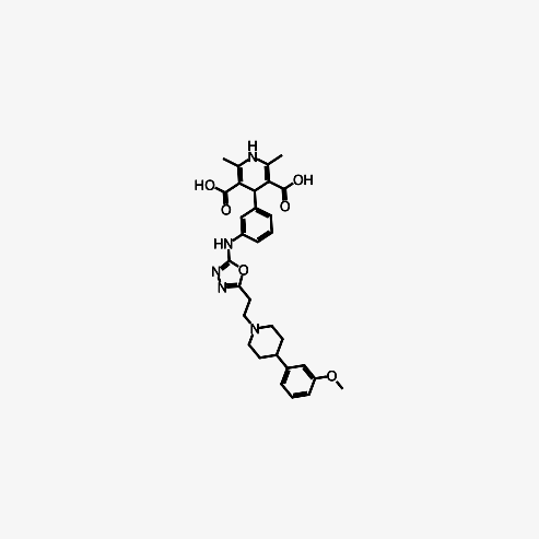 COc1cccc(C2CCN(CCc3nnc(Nc4cccc(C5C(C(=O)O)=C(C)NC(C)=C5C(=O)O)c4)o3)CC2)c1